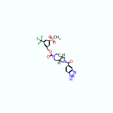 CS(=O)(=O)c1cc(COC(=O)N2CC[C@@H]3CN(C(=O)c4ccc5[nH]nnc5c4)C[C@@H]3CC2)cc(C(F)(F)F)c1